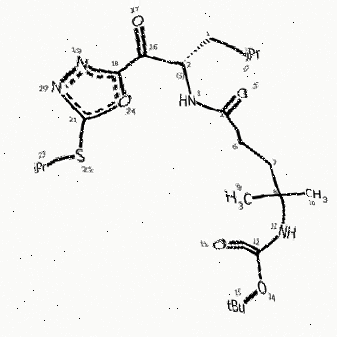 CC(C)C[C@H](NC(=O)CCC(C)(C)NC(=O)OC(C)(C)C)C(=O)c1nnc(SC(C)C)o1